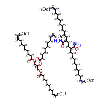 CCCCCCCC/C=C\CCCCCCCC(=O)OCC(COC(=O)CCCCCCC/C=C\CCCCCCCC)OC(=O)CCCCCCC/C=C\CCCCCCCC.CCCCCCCC/C=C\CCCCCCCCCCC(CCC(CCCCCCCCCC/C=C\CCCCCCCC)C(N)=O)C(N)=O